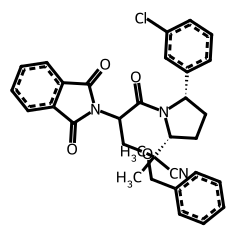 CC(C)(C#N)[C@H]1CC[C@@H](c2cccc(Cl)c2)N1C(=O)C(COCc1ccccc1)N1C(=O)c2ccccc2C1=O